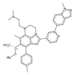 Cc1ccc(-c2c([C@H](OC(C)(C)C)C(=O)O)c(C)c3c4c2cc(-c2ccnc(-c5ccc6c(cnn6C)c5)c2)n4CCN3CCN(C)C)cc1